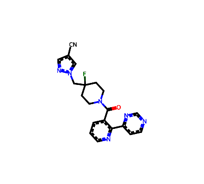 N#Cc1cnn(CC2(F)CCN(C(=O)c3cccnc3-c3ccncn3)CC2)c1